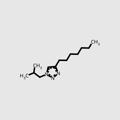 CCCCCCCc1cn(CC(C)C)nn1